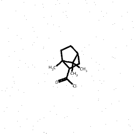 CC1(C)C2CCC1(C)C(C(=O)Cl)C2